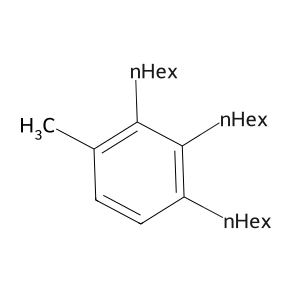 CCCCCCc1ccc(C)c(CCCCCC)c1CCCCCC